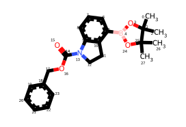 CC1(C)OB(c2cccc3c2CCN3C(=O)OCc2ccccc2)OC1(C)C